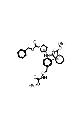 CC(C)(C)OC(=O)NOCc1cccc([C@]2(C(=O)N[C@H]3CCN(C(=O)OCc4ccccc4)C3)CCCCN2C(=O)OC(C)(C)C)c1